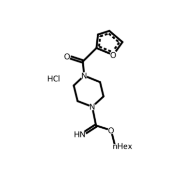 CCCCCCOC(=N)N1CCN(C(=O)c2ccco2)CC1.Cl